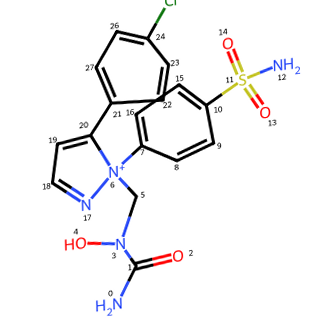 NC(=O)N(O)C[N+]1(c2ccc(S(N)(=O)=O)cc2)N=CC=C1c1ccc(Cl)cc1